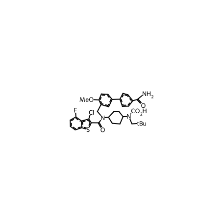 COc1ccc(-c2ccc(C(N)=O)cc2)cc1CN(C(=O)c1sc2cccc(F)c2c1Cl)C1CCC(N(CC(C)(C)C)C(=O)O)CC1